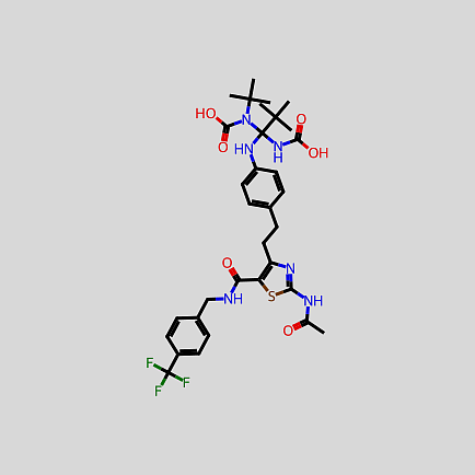 CC(=O)Nc1nc(CCc2ccc(NC(NC(=O)O)(N(C(=O)O)C(C)(C)C)C(C)(C)C)cc2)c(C(=O)NCc2ccc(C(F)(F)F)cc2)s1